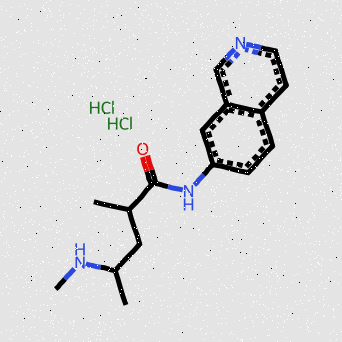 CNC(C)CC(C)C(=O)Nc1ccc2ccncc2c1.Cl.Cl